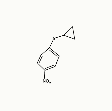 O=[N+]([O-])c1ccc(SC2CC2)cc1